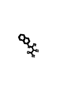 CCC(=O)C(CC)C(CC)=Nc1ccc2ccccc2c1